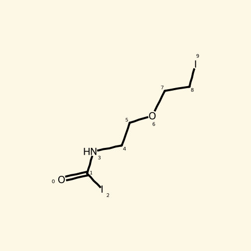 O=C(I)NCCOCCI